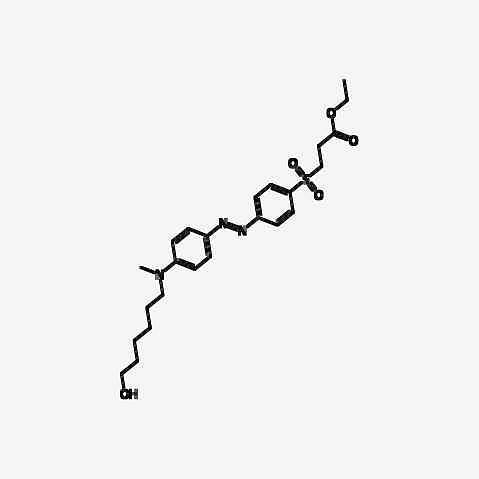 CCOC(=O)CCS(=O)(=O)c1ccc(N=Nc2ccc(N(C)CCCCCCO)cc2)cc1